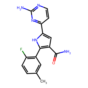 Cc1ccc(F)c(-c2[nH]c(-c3ccnc(N)n3)cc2C(N)=O)c1